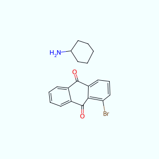 NC1CCCCC1.O=C1c2ccccc2C(=O)c2c(Br)cccc21